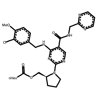 CCCCCCC(=O)OC[C@@H]1CCCN1c1ncc(C(=O)NCc2ncccn2)c(NCc2ccc(OC)c(Cl)c2)n1